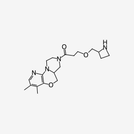 Cc1cnc2c(c1C)OCC1CN(C(=O)CCOCC3CCN3)CCN21